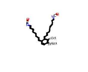 CCCCCCCCC1C(CCCCCC)C=CC(CCCCCCCCN=C=O)C1CCCCCCCCN=C=O